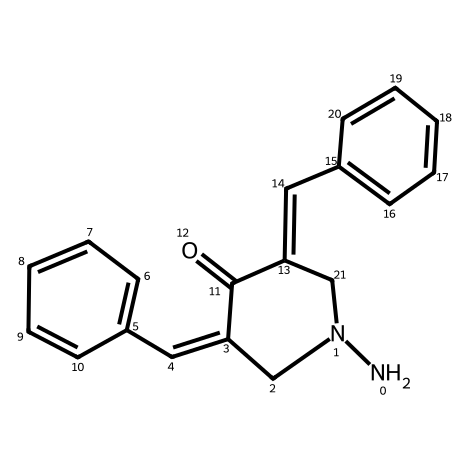 NN1CC(=Cc2ccccc2)C(=O)C(=Cc2ccccc2)C1